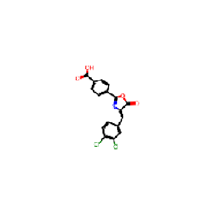 O=C1OC(c2ccc(C(=O)O)cc2)=NC1=Cc1ccc(Cl)c(Cl)c1